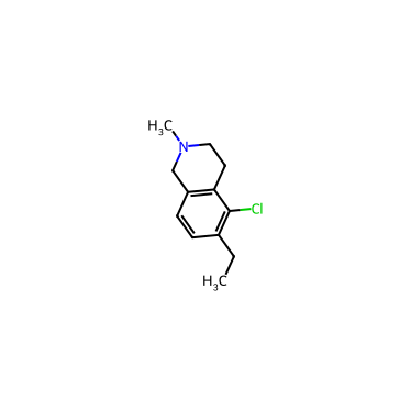 CCc1ccc2c(c1Cl)CCN(C)C2